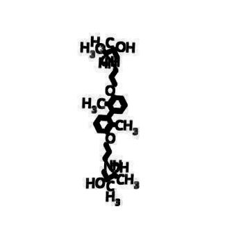 Cc1c(OCCCNCC(C)(O)C(C)O)cccc1-c1cccc(OCCCNCC(C)(O)C(C)O)c1C